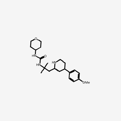 COc1ccc(C2CCNC(CC(C)(C)NC(=O)NC3CCOCC3)C2)cc1